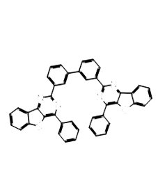 c1ccc(-c2nc(-c3cccc(-c4cccc(-c5nc(-c6ccccc6)c6sc7ccccc7c6n5)c4)c3)nc3c2oc2ccccc23)cc1